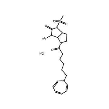 CCCC1C(=O)N(S(C)(=O)=O)C2CCN(C(=O)CCCCCN3C=CC=CC=C3)C12.Cl